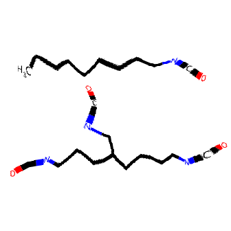 CCCCCCCCCN=C=O.O=C=NCCCCC(CCCN=C=O)CN=C=O